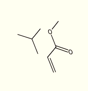 C=CC(=O)OC.CC(C)C